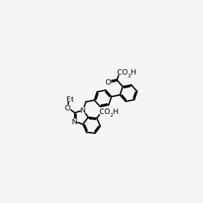 CCOc1nc2cccc(C(=O)O)c2n1Cc1ccc(-c2ccccc2C(=O)C(=O)O)cc1